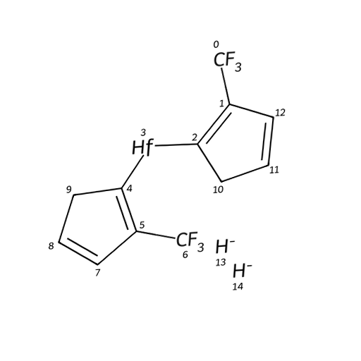 FC(F)(F)C1=[C]([Hf][C]2=C(C(F)(F)F)C=CC2)CC=C1.[H-].[H-]